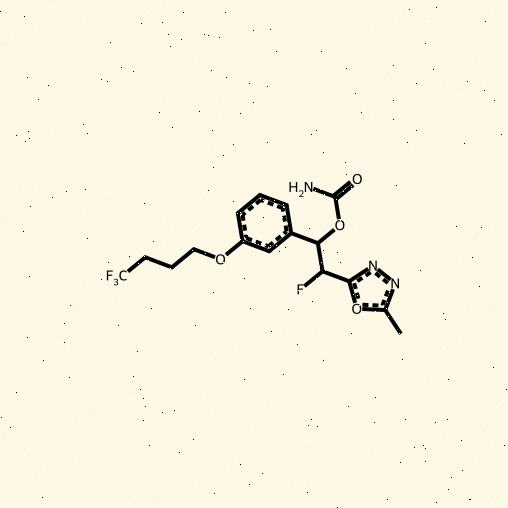 Cc1nnc(C(F)C(OC(N)=O)c2cccc(OCCCC(F)(F)F)c2)o1